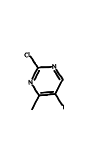 Cc1nc(Cl)ncc1I